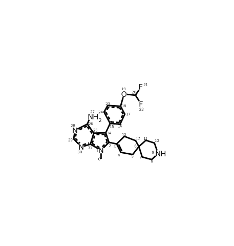 Cn1c(C2=CCC3(CCNCC3)CC2)c(-c2ccc(OC(F)F)cc2)c2c(N)ncnc21